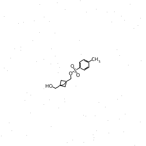 Cc1ccc(S(=O)(=O)OCC23CC(CO)(C2)C3)cc1